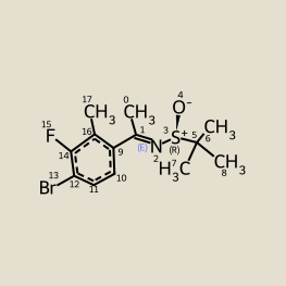 C/C(=N\[S@@+]([O-])C(C)(C)C)c1ccc(Br)c(F)c1C